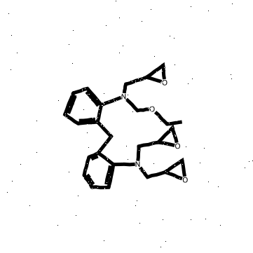 CCOCN(CC1CO1)c1ccccc1Cc1ccccc1N(CC1CO1)CC1CO1